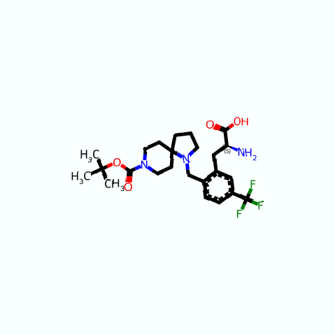 CC(C)(C)OC(=O)N1CCC2(CCCN2Cc2ccc(C(F)(F)F)cc2C[C@H](N)C(=O)O)CC1